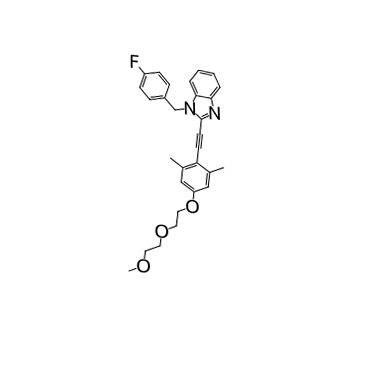 COCCOCCOc1cc(C)c(C#Cc2nc3ccccc3n2Cc2ccc(F)cc2)c(C)c1